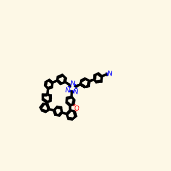 N#Cc1ccc(-c2ccc(-c3nc(-c4cccc(-c5cccc(-c6ccccc6)c5)c4)nc(-c4ccc5c(c4)oc4cccc(-c6ccc(-c7ccccc7)cc6)c45)n3)cc2)cc1